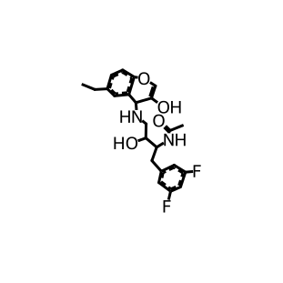 CCc1ccc2c(c1)C(NCC(O)C(Cc1cc(F)cc(F)c1)NC(C)=O)C(O)=CO2